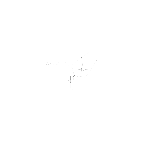 COCC[N+]1(C)C2CCC1CC(N)C2